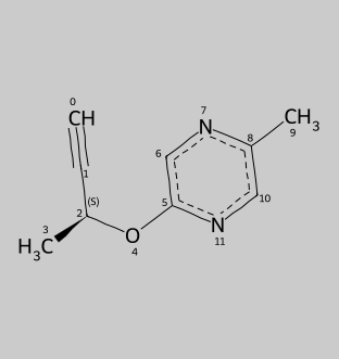 C#C[C@H](C)Oc1cnc(C)cn1